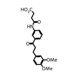 COc1ccc(CCC(=O)c2cccc(NC(=O)CCC(=O)O)c2)cc1OC